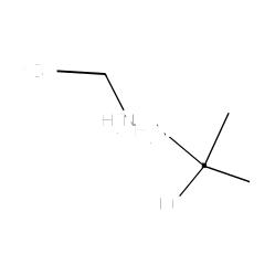 CCC(C)(C)N.CCCCCN